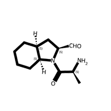 C[C@H](N)C(=O)N1[C@H](C=O)C[C@@H]2CCCC[C@@H]21